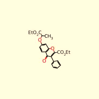 CCOC(=O)c1oc2cc(OC(C)C(=O)OCC)ccc2c(=O)c1-c1ccccc1